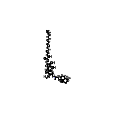 C/C(=C\C[n+]1cnc2c(ncn2[C@@H]2O[C@H](COC(=O)NCCOCCOCCOCCN=[N+]=[N-])[C@@H](O)[C@H]2O)c1N)CC[C@@]1(C)[C@@H]2CCCC(C)(C)C2=CC[C@@H]1C